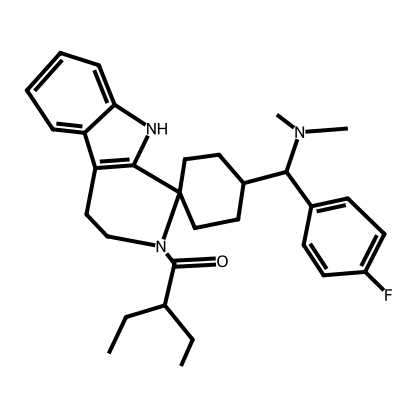 CCC(CC)C(=O)N1CCc2c([nH]c3ccccc23)C12CCC(C(c1ccc(F)cc1)N(C)C)CC2